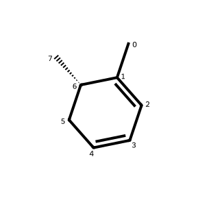 CC1=CC=CC[C@@H]1C